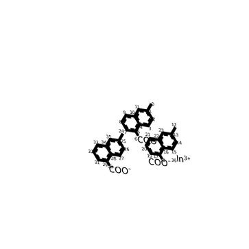 Cc1ccc2c(C(=O)[O-])cccc2c1.Cc1ccc2c(C(=O)[O-])cccc2c1.Cc1ccc2c(C(=O)[O-])cccc2c1.[In+3]